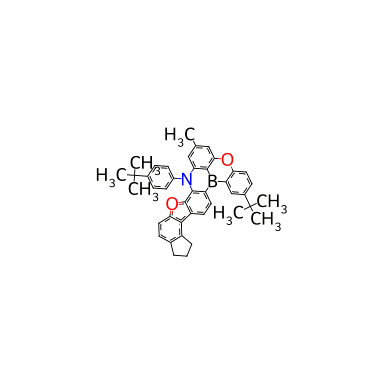 Cc1cc2c3c(c1)N(c1ccc(C(C)(C)C)cc1)c1c(ccc4c1oc1ccc5c(c14)CCC5)B3c1cc(C(C)(C)C)ccc1O2